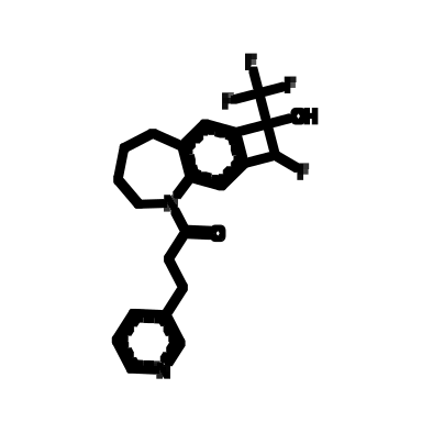 O=C(CCc1cccnc1)N1CCCCc2cc3c(cc21)C(F)C3(O)C(F)(F)F